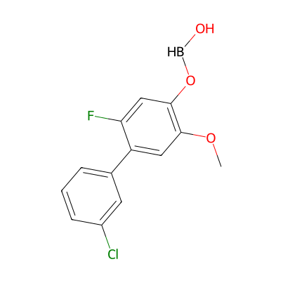 COc1cc(-c2cccc(Cl)c2)c(F)cc1OBO